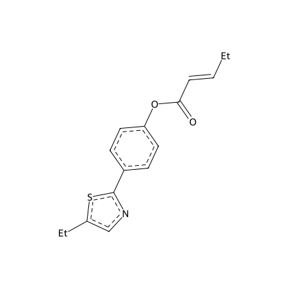 CC/C=C/C(=O)Oc1ccc(-c2ncc(CC)s2)cc1